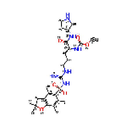 Cc1c(C)c(S(=O)(=O)NC(=N)NCCC[C@H](NC(=O)OC(C)(C)C)C(=O)N[C@@H]2CCNC2)c(C)c2c1OC(C)(C)C2